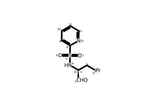 CC(C)C[C@@H]([C]=O)NS(=O)(=O)c1ccccn1